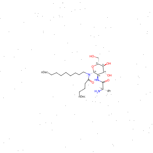 CCCCCCCCCCCCCCCCCCN(C(=O)CCCCCCCCCCCCC)[C@@H]1O[C@H](CO)[C@@H](O)[C@H](O)[C@H]1NC(=O)[C@@H](N)C(C)C